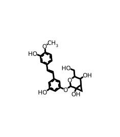 COc1ccc(/C=C/c2cc(O)cc(OC3OC(CO)C(O)C4CC34O)c2)cc1O